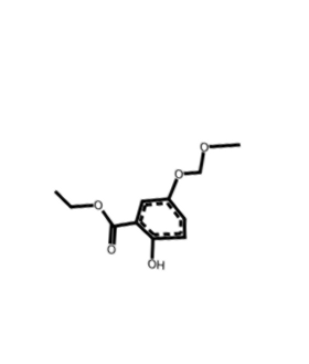 CCOC(=O)c1cc(OCOC)ccc1O